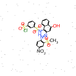 CS(=O)(=O)c1cc([N+](=O)[O-])ccc1N=Nc1cc(O)c2ccccc2c1NS(=O)(=O)c1cccc(S(=O)(=O)Cl)c1